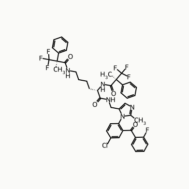 Cc1ncc(CNC(=O)[C@H](CCCCNC(=O)[C@](C)(c2ccccc2)C(F)(F)F)NC(=O)[C@](C)(c2ccccc2)C(F)(F)F)n1-c1ccc(Cl)cc1C(=O)c1ccccc1F